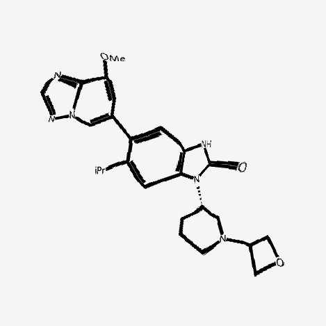 COc1cc(-c2cc3[nH]c(=O)n([C@H]4CCCN(C5COC5)C4)c3cc2C(C)C)cn2ncnc12